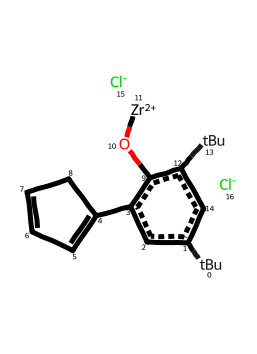 CC(C)(C)c1cc(C2=CC=CC2)c([O][Zr+2])c(C(C)(C)C)c1.[Cl-].[Cl-]